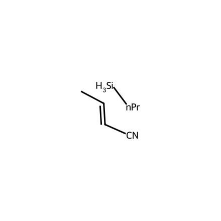 CC=CC#N.CCC[SiH3]